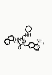 Nc1nccc2cc(CNC(=O)[C@H](Cc3cccc4ccccc34)NC(=O)CNC3CCCCC3)ccc12